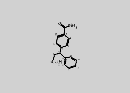 NC(=O)c1ccc(C(CC(=O)O)c2ccccc2)cc1